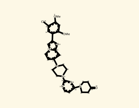 COc1cc(OC)c(-c2cn3ccc(N4CCN(c5nccc(N6CCC(=O)CC6)n5)CC4)cc3n2)cc1Cl